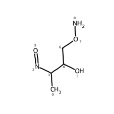 CC(N=O)C(O)CON